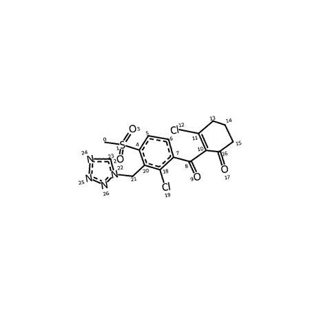 CS(=O)(=O)c1ccc(C(=O)C2=C(Cl)CCCC2=O)c(Cl)c1Cn1cnnn1